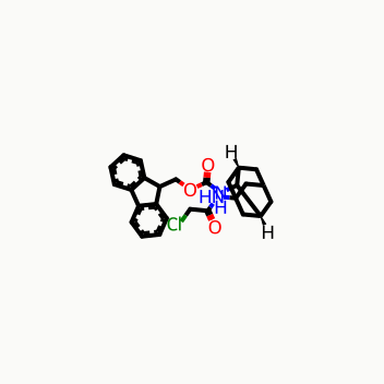 O=C(CCl)NC12CC3C[C@H](C1)C(NC(=O)OCC1c4ccccc4-c4ccccc41)[C@@H](C3)C2